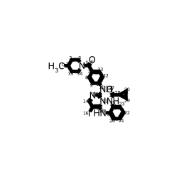 CC1CCN(C(=O)c2ccc(Nc3ncc(I)c(Nc4ccccc4NC(=O)C4CC4)n3)cc2)CC1